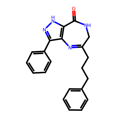 O=C1NCC(CCCc2ccccc2)=Nc2c(-c3ccccc3)n[nH]c21